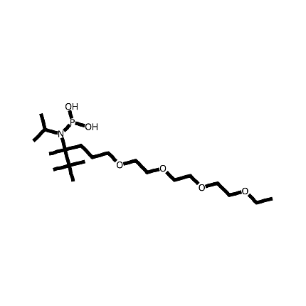 CCOCCOCCOCCOCCCC(C)(N(C(C)C)P(O)O)C(C)(C)C